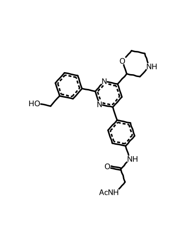 CC(=O)NCC(=O)Nc1ccc(-c2cc(C3CNCCO3)nc(-c3cccc(CO)c3)n2)cc1